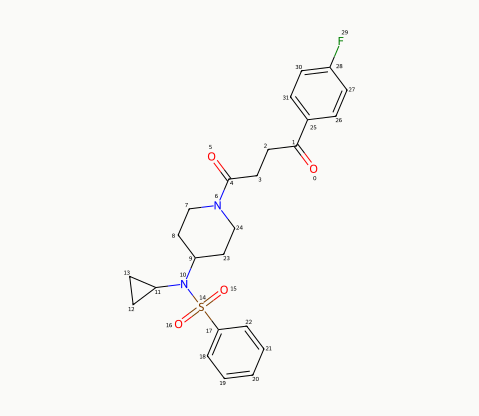 O=C(CCC(=O)N1CCC(N(C2CC2)S(=O)(=O)c2ccccc2)CC1)c1ccc(F)cc1